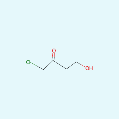 O=C(CCl)CCO